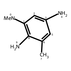 CNc1cc(N)cc(C)c1N